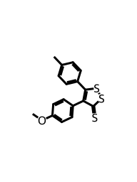 COc1ccc(-c2c(-c3ccc(C)cc3)ssc2=S)cc1